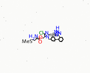 CCCCc1nc(Cl)c(COC(=O)[C@H](N)CCSC)n1Cc1ccc(-c2ccccc2-c2nn[nH]n2)cc1